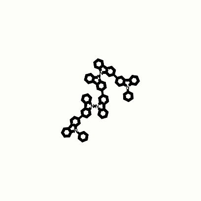 c1ccc(-n2c3ccccc3c3cc(-c4ccc5c6ccccc6n(-n6c7ccccc7c7cc(-c8ccc9c%10ccccc%10n(-n%10c%11ccccc%11c%11cc(-c%12ccc%13c%14ccccc%14n(-c%14ccccc%14)c%13c%12)ccc%11%10)c9c8)ccc76)c5c4)ccc32)cc1